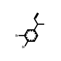 [CH2]C(C=C)c1ccc(Br)c(Br)c1